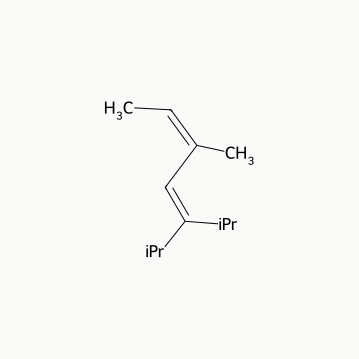 C/C=C(/C)C=C(C(C)C)C(C)C